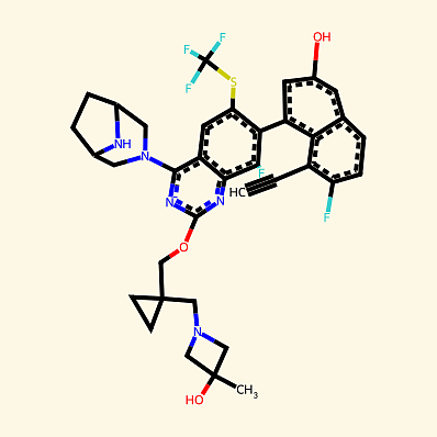 C#Cc1c(F)ccc2cc(O)cc(-c3c(SC(F)(F)F)cc4c(N5CC6CCC(C5)N6)nc(OCC5(CN6CC(C)(O)C6)CC5)nc4c3F)c12